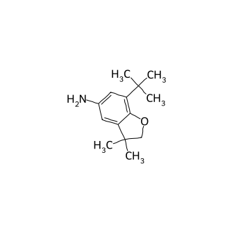 CC(C)(C)c1cc(N)cc2c1OCC2(C)C